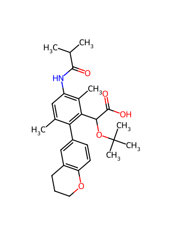 Cc1cc(NC(=O)C(C)C)c(C)c(C(OC(C)(C)C)C(=O)O)c1-c1ccc2c(c1)CCCO2